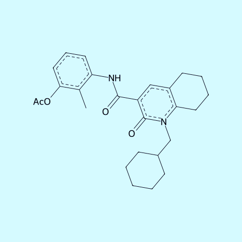 CC(=O)Oc1cccc(NC(=O)c2cc3c(n(CC4CCCCC4)c2=O)CCCC3)c1C